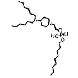 CCCCCCCCCOP(=O)(O)OCCN1CCC(N(CCCCCC)CCCCCC)CC1